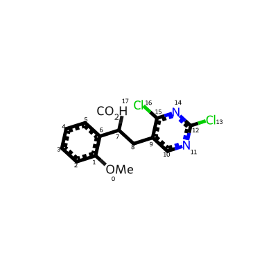 COc1ccccc1C(Cc1cnc(Cl)nc1Cl)C(=O)O